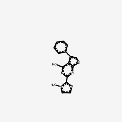 Cn1ccnc1-c1nc(O)c2c(-c3ccccc3)csc2n1